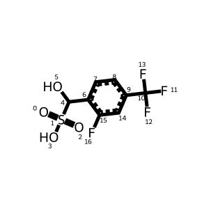 O=S(=O)(O)C(O)c1ccc(C(F)(F)F)cc1F